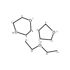 C1CCOC1.C1COCCO1.CCOCC